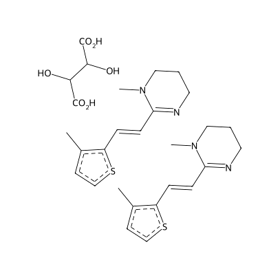 Cc1ccsc1/C=C/C1=NCCCN1C.Cc1ccsc1/C=C/C1=NCCCN1C.O=C(O)C(O)C(O)C(=O)O